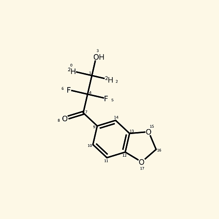 [2H]C([2H])(O)C(F)(F)C(=O)c1ccc2c(c1)OCO2